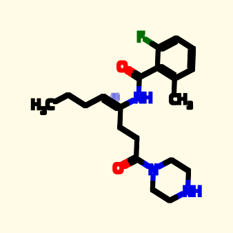 CCC/C=C(\CCC(=O)N1CCNCC1)NC(=O)c1c(C)cccc1F